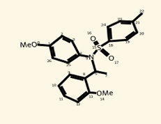 COc1ccc(N(C(C)c2ccccc2OC)S(=O)(=O)c2ccc(C)cc2)cc1